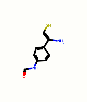 N/C(=C\S)c1ccc(NC=O)cc1